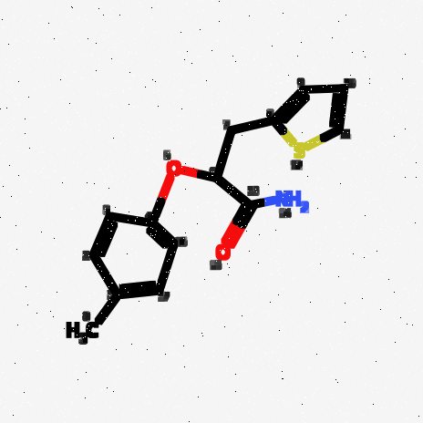 Cc1ccc(OC(Cc2cccs2)C(N)=O)cc1